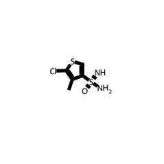 Cc1c(S(=N)(N)=O)csc1Cl